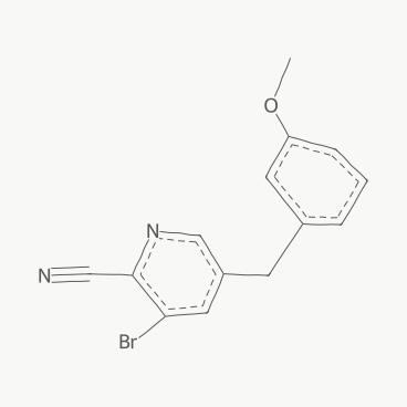 COc1cccc(Cc2cnc(C#N)c(Br)c2)c1